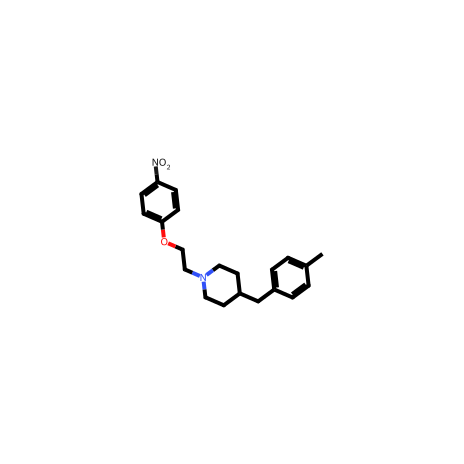 Cc1ccc(CC2CCN(CCOc3ccc([N+](=O)[O-])cc3)CC2)cc1